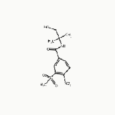 CC(C)(CO)NC(=O)c1ccc([N+](=O)[O-])c(S(C)(=O)=O)c1